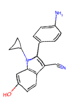 N#Cc1c(-c2ccc(N)cc2)n(C2CC2)c2cc(O)ccc12